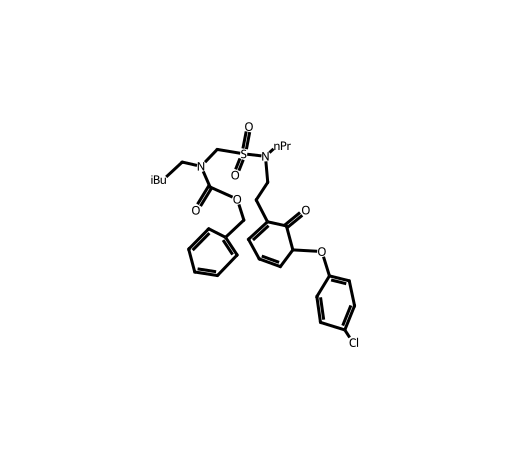 CCCN(CCC1=CC=CC(Oc2ccc(Cl)cc2)C1=O)S(=O)(=O)CN(CC(C)CC)C(=O)OCc1ccccc1